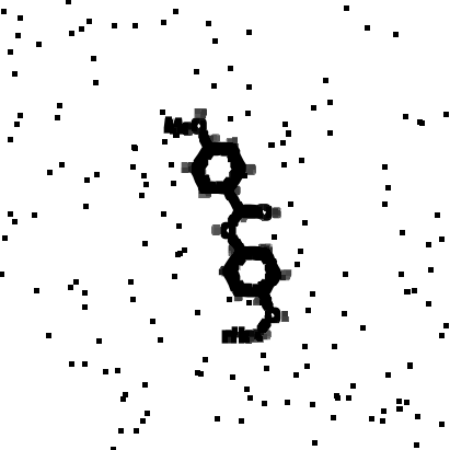 CCCCCCOc1ccc(OC(=O)c2ccc(OC)cc2)cc1